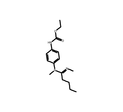 CCCCC(=NC)N(C)c1ccc(NC(=O)OCC)cc1